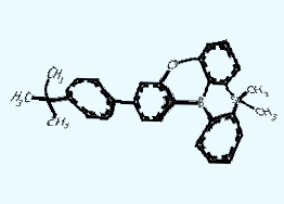 CC(C)(C)c1ccc(-c2ccc3c(c2)Oc2cccc4c2B3c2ccccc2[Si]4(C)C)cc1